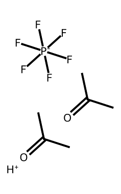 CC(C)=O.CC(C)=O.F[P-](F)(F)(F)(F)F.[H+]